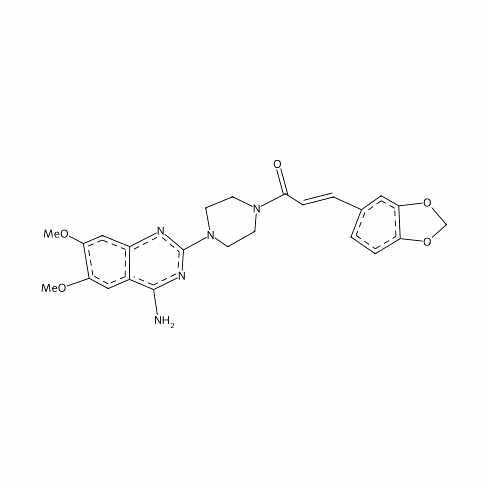 COc1cc2nc(N3CCN(C(=O)C=Cc4ccc5c(c4)OCO5)CC3)nc(N)c2cc1OC